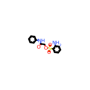 Nc1ccccc1S(=O)(=O)OCC(=O)Nc1ccccc1